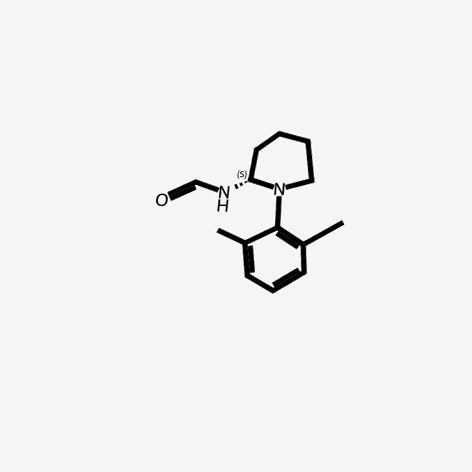 Cc1cccc(C)c1N1CCCC[C@H]1NC=O